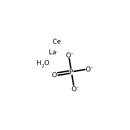 O.O=P([O-])([O-])[O-].[Ce].[La]